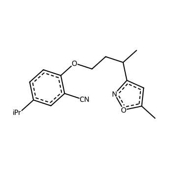 Cc1cc(C(C)CCOc2ccc(C(C)C)cc2C#N)no1